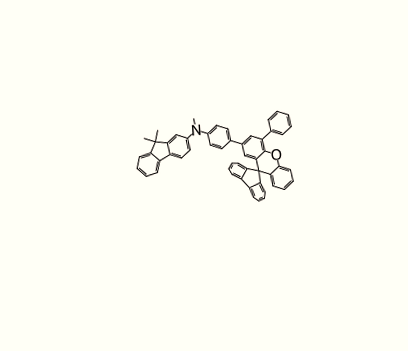 CN(c1ccc(-c2cc(-c3ccccc3)c3c(c2)C2(c4ccccc4O3)c3ccccc3-c3ccccc32)cc1)c1ccc2c(c1)C(C)(C)c1ccccc1-2